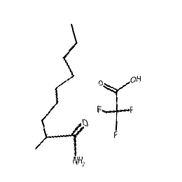 CCCCCCCC(C)C(N)=O.O=C(O)C(F)(F)F